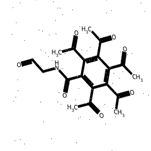 CC(=O)c1c(C(C)=O)c(C(C)=O)c(C(=O)NCC=O)c(C(C)=O)c1C(C)=O